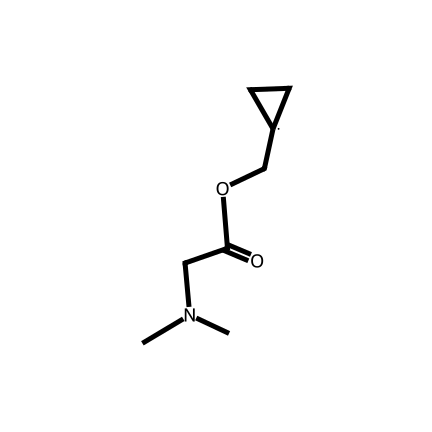 CN(C)CC(=O)OC[C]1CC1